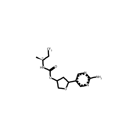 C[C@@H](CC(F)(F)F)NC(=O)OC1COC(c2cnc(N)nc2)C1